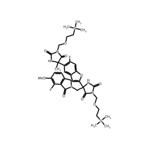 COc1ccc2c(c1F)C(=O)N(CC1(c3cc4cc(C5(C)NC(=O)N(COCC[Si](C)(C)C)C5=O)c(F)cc4o3)NC(=O)N(COCC[Si](C)(C)C)C1=O)C2